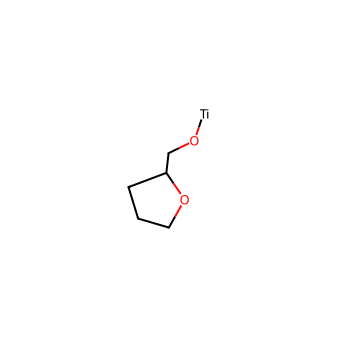 [Ti][O]CC1CCCO1